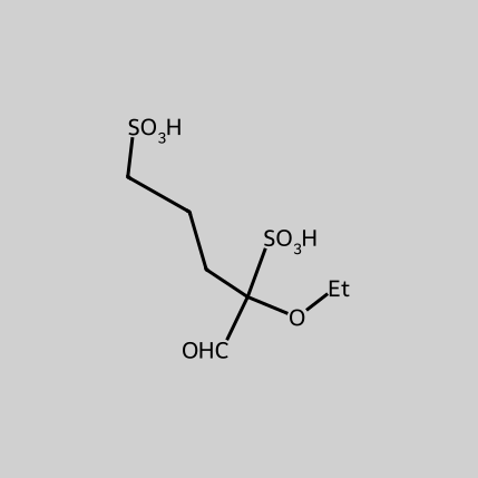 CCOC(C=O)(CCCS(=O)(=O)O)S(=O)(=O)O